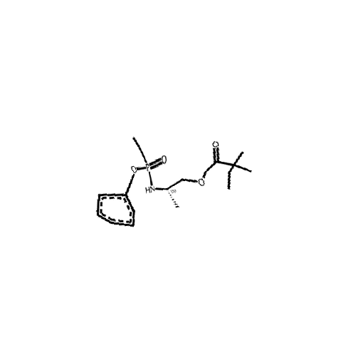 C[C@@H](COC(=O)C(C)(C)C)NP(C)(=O)Oc1ccccc1